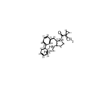 CSNC1CCN(C(=O)C2(C)CC2)C1Cc1cccc(-c2ccccc2)c1